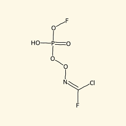 O=P(O)(OF)OON=C(F)Cl